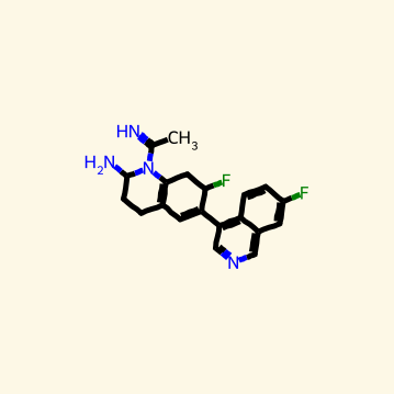 CC(=N)N1C2=C(C=C(c3cncc4cc(F)ccc34)C(F)C2)CCC1N